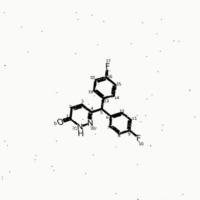 O=c1ccc(C(c2ccc(F)cc2)c2ccc(F)cc2)n[nH]1